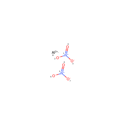 O=[N+]([O-])[O-].O=[N+]([O-])[O-].[Al+2]